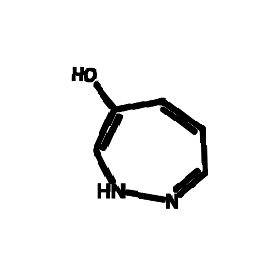 OC1=CNN=CC=C1